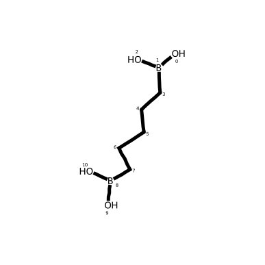 OB(O)CCCCCB(O)O